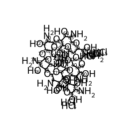 Cl.Cl.Cl.Cl.Cl.Cl.Cl.NC1C(OC2C(CO)OC(OC3C(CO)OC(OC4C(CO)OC(OC5C(CO)OC(OC6C(CO)OC(OC7C(CO)OC(O)C(N)C7O)C(N)C6O)C(N)C5O)C(N)C4O)C(N)C3O)C(N)C2O)OC(CO)C(O)C1O